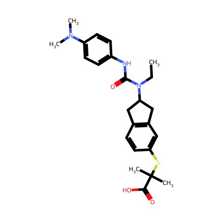 CCN(C(=O)Nc1ccc(N(C)C)cc1)C1Cc2ccc(SC(C)(C)C(=O)O)cc2C1